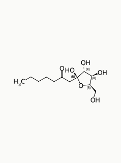 CCCCCC(=O)C[C@@]1(O)O[C@H](CO)[C@H](O)[C@H]1O